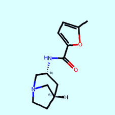 Cc1ccc(C(=O)N[C@@H]2C[C@@H]3CCN(C3)C2)o1